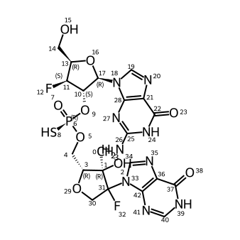 C[C@@]1(O)[C@@H](CO[P@@](=O)(S)O[C@@H]2[C@@H](F)[C@@H](CO)O[C@H]2n2cnc3c(=O)[nH]c(N)nc32)OCC1(F)n1cnc2c(=O)[nH]cnc21